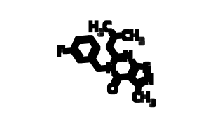 Cc1nsc2nc(CC(C)C)n(Cc3cccc(F)c3)c(=O)c12